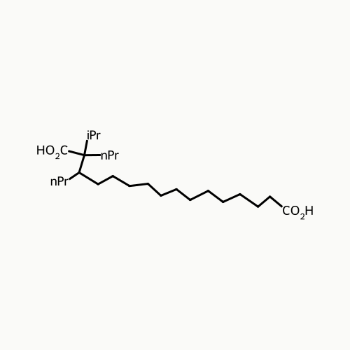 CCCC(CCCCCCCCCCCCC(=O)O)C(CCC)(C(=O)O)C(C)C